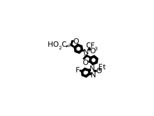 CCOc1nc2ccc(F)cc2n1-c1cccc2c1OC[C@@H]2N(C(=O)C(F)(F)F)c1ccc2c(c1)OC[C@H]2CC(=O)O